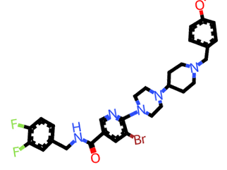 COc1ccc(CN2CCC(N3CCN(c4ncc(C(=O)NCc5ccc(F)c(F)c5)cc4Br)CC3)CC2)cc1